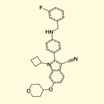 N#Cc1c(-c2ccc(NCc3cccc(F)c3)cc2)n(C2CCC2)c2cc(OC3CCOCC3)ccc12